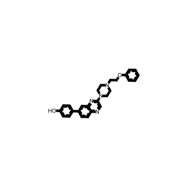 Oc1ccc(-c2ccc3ncc(N4CCN(CCOc5ccccc5)CC4)nc3c2)cc1